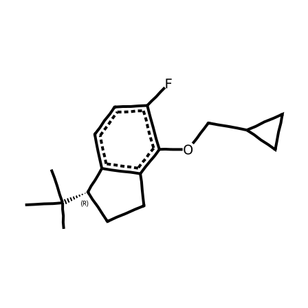 CC(C)(C)[C@H]1CCc2c1ccc(F)c2OCC1CC1